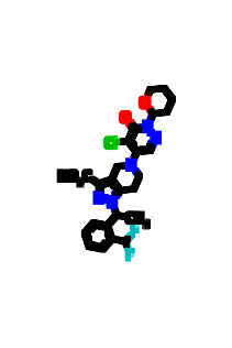 CC(c1ccccc1C(F)F)n1nc(C(=O)O)c2c1CCN(c1cnn(C3CCCCO3)c(=O)c1Cl)C2